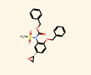 CS(=O)(=O)N(C(=O)OCc1ccccc1)c1cc([C@@H]2CO2)ccc1OCc1ccccc1